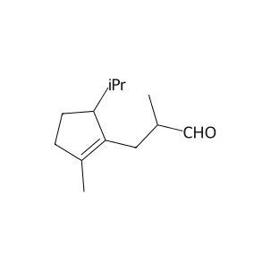 CC1=C(CC(C)C=O)C(C(C)C)CC1